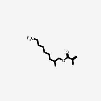 C=C(C)C(=O)OCC(C)CCCCCCC(F)(F)F